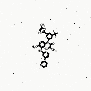 Cc1c[nH]c(-c2cc(N(C(=O)C(C)O)c3ccc(C)c(Nc4nccc(-c5cccnc5)n4)c3)cc(C(F)(F)F)c2)n1